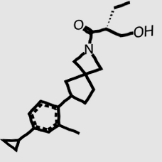 CC[C@H](CO)C(=O)N1CC2(CCC(c3ccc(C4CC4)cc3C)C2)C1